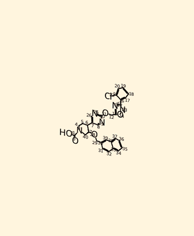 O=C(O)N1CCC(c2cnc(OCc3nc(-c4ccccc4Cl)no3)nc2)C(OCc2ccc3ccccc3c2)C1